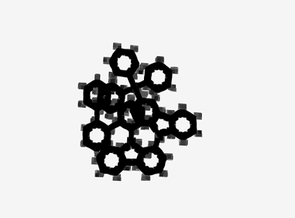 c1ccc(-c2ccccc2-c2ccccc2-n2c3ccccc3c3cccc(-n4c5ccccc5c5cc([Si](c6ccccc6)(c6ccccc6)c6ccccc6)ccc54)c32)cc1